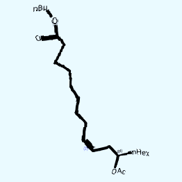 CCCCCC[C@H](C/C=C\CCCCCCCC(=O)OCCCC)OC(C)=O